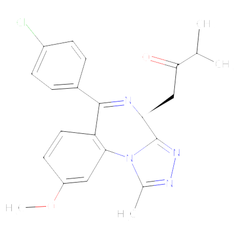 COc1ccc2c(c1)-n1c(C)nnc1[C@H](CC(=O)C(C)C)N=C2c1ccc(Cl)cc1